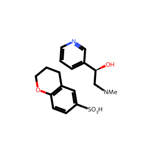 CNC[C@H](O)c1cccnc1.O=S(=O)(O)c1ccc2c(c1)CCCO2